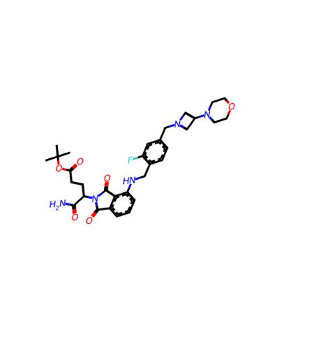 CC(C)(C)OC(=O)CCC(C(N)=O)N1C(=O)c2cccc(NCc3ccc(CN4CC(N5CCOCC5)C4)cc3F)c2C1=O